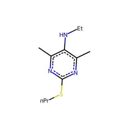 CCCSc1nc(C)c(NCC)c(C)n1